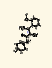 COc1ccncc1/C(N)=C(\S)C(=O)Nc1ccc(C)cc1